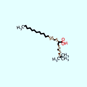 CCCCCCCCCCCCSSCSC(CSCSSC(C)(C)C)C(=O)O